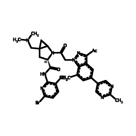 CC(=O)c1nn(CC(=O)N2C3CC3(CN(C)C)C[C@H]2C(=O)Nc2nc(Br)ccc2C)c2c(C(=O)O)cc(-c3cnc(C)nc3)cc12